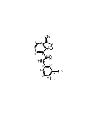 O=C1COc2c1cccc2C(=O)Nc1ccc(F)c(F)c1